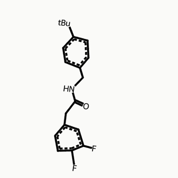 CC(C)(C)c1ccc(CNC(=O)Cc2ccc(F)c(F)c2)cc1